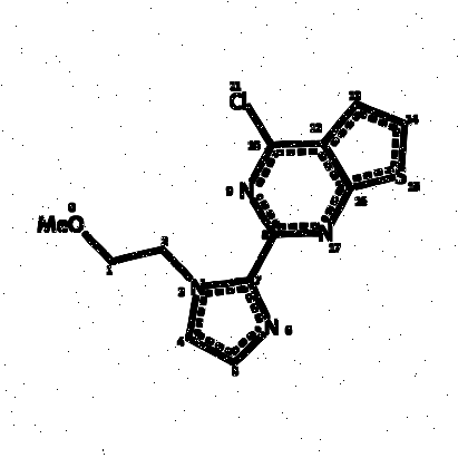 COCCn1ccnc1-c1nc(Cl)c2ccsc2n1